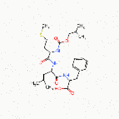 CSCCC(NC(=O)OCC(C)C)C(=O)NC(CC(C)C)C(=O)NC(Cc1ccccc1)C(=O)O